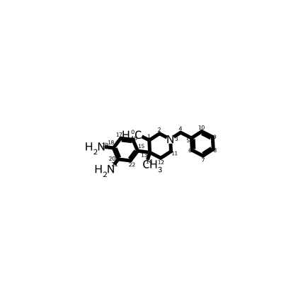 CC1CN(Cc2ccccc2)CCC1(C)c1ccc(N)c(N)c1